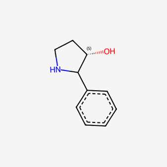 O[C@H]1CCNC1c1ccccc1